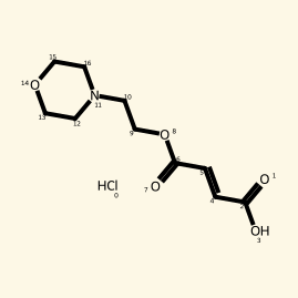 Cl.O=C(O)C=CC(=O)OCCN1CCOCC1